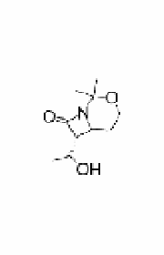 CC(O)[C@@H]1C(=O)N2C1CCOC2(C)C